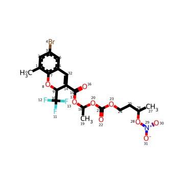 Cc1cc(Br)cc2c1OC(C(F)(F)F)C(C(=O)OC(C)OC(=O)OCCC(C)O[N+](=O)[O-])=C2